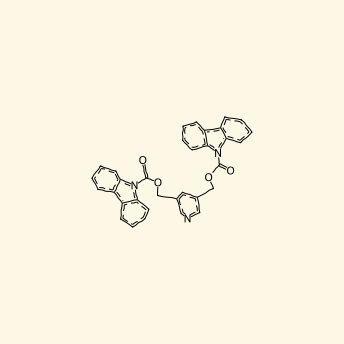 O=C(OCc1cncc(COC(=O)n2c3ccccc3c3ccccc32)c1)n1c2ccccc2c2ccccc21